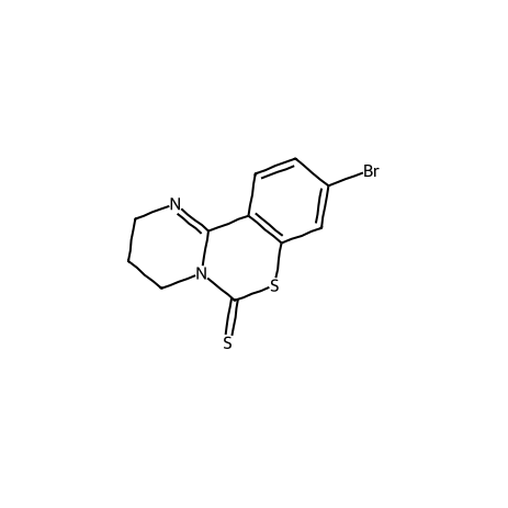 S=C1Sc2cc(Br)ccc2C2=NCCCN12